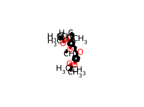 C=CC(C)(C)c1cc(C=CC(=O)c2ccc(OC(=O)C(C)(C)C)cc2)c(OCC)cc1OC(=O)C(C)(C)C